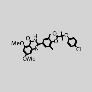 COc1cc(OC)c2c(=O)[nH]c(-c3cc(C)c(OC(=O)C(C)(C)Oc4ccc(Cl)cc4)c(C)c3)nc2c1